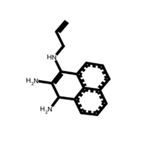 C=CCNC1=C(N)C(N)c2cccc3cccc1c23